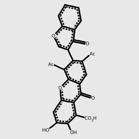 CC(=O)c1cc2c(=O)c3c(C(=O)O)c(O)c(O)cc3oc2c(C(C)=O)c1-c1coc2ccccc2c1=O